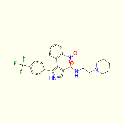 O=C(NCCN1CCCCC1)c1c[nH]c(-c2ccc(C(F)(F)F)cc2)c1-c1ccccc1[N+](=O)[O-]